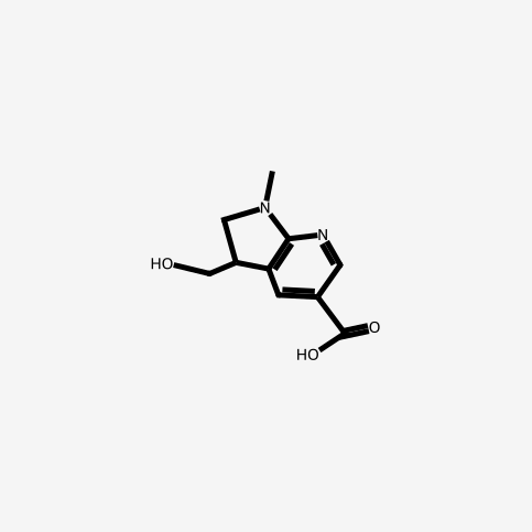 CN1CC(CO)c2cc(C(=O)O)cnc21